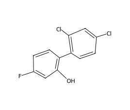 Oc1cc(F)ccc1-c1ccc(Cl)cc1Cl